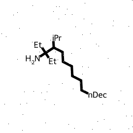 CCCCCCCCCCCCCCCCC(C(C)C)C(N)(CC)CC